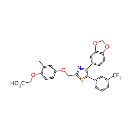 Cc1cc(OCc2nc(-c3ccc4c(c3)OCO4)c(-c3cccc(C(F)(F)F)c3)s2)ccc1OCC(=O)O